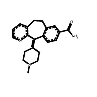 CN1CCC(=C2c3ccc(C(N)=O)cc3CCc3cccnc32)CC1